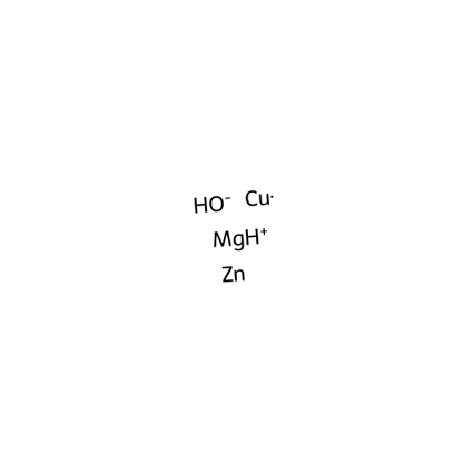 [Cu].[MgH+].[OH-].[Zn]